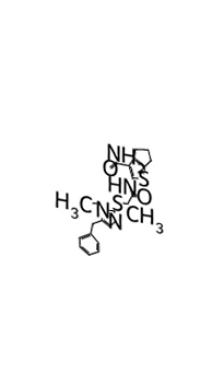 CCn1c(Cc2ccccc2)cnc1SC(C)C(=O)Nc1sc2c(c1C(N)=O)CCC2